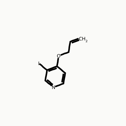 C=CCOc1ccncc1I